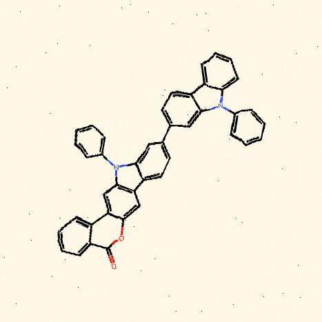 O=c1oc2cc3c4ccc(-c5ccc6c7ccccc7n(-c7ccccc7)c6c5)cc4n(-c4ccccc4)c3cc2c2ccccc12